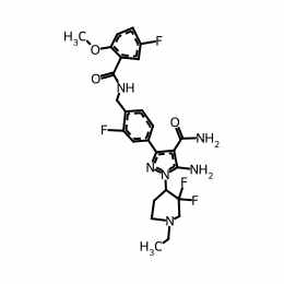 CCN1CCC(n2nc(-c3ccc(CNC(=O)c4cc(F)ccc4OC)c(F)c3)c(C(N)=O)c2N)C(F)(F)C1